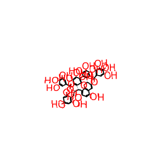 O=C(O[C@H](Cc1c(O)cc(O)cc1O)[C@H](c1cc(O)c(O)c(O)c1)c1c(O)cc(O)c2c1O[C@H](c1cc(O)c(O)c(O)c1)[C@H](OC(=O)c1cc(O)c(O)c(O)c1)C2)c1cc(O)c(O)c(O)c1